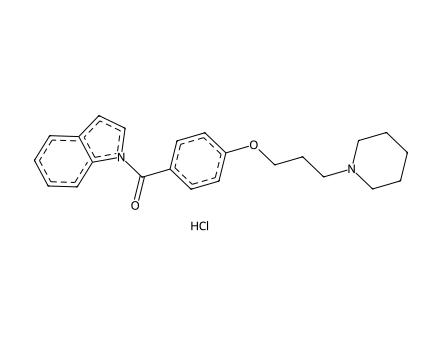 Cl.O=C(c1ccc(OCCCN2CCCCC2)cc1)n1ccc2ccccc21